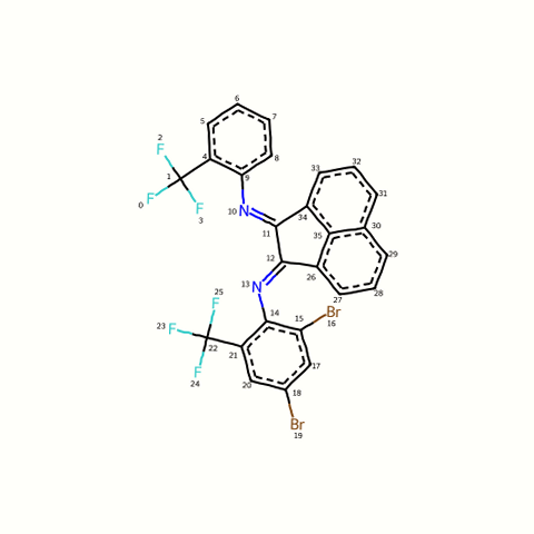 FC(F)(F)c1ccccc1/N=C1/C(=N/c2c(Br)cc(Br)cc2C(F)(F)F)c2cccc3cccc1c23